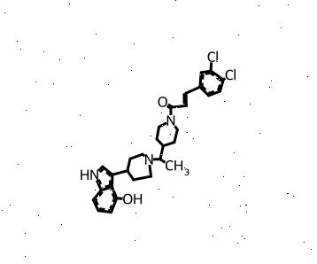 CC(C1CCN(C(=O)C=Cc2ccc(Cl)c(Cl)c2)CC1)N1CCC(c2c[nH]c3cccc(O)c23)CC1